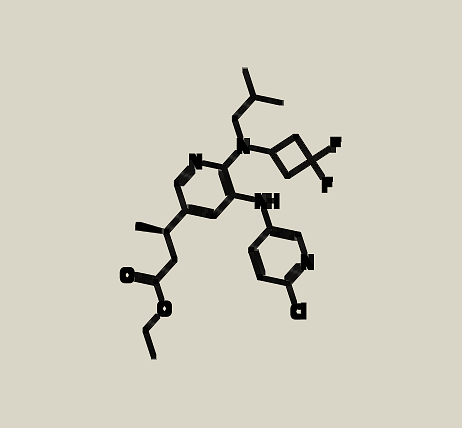 CCOC(=O)C[C@@H](C)c1cnc(N(CC(C)C)C2CC(F)(F)C2)c(Nc2ccc(Cl)nc2)c1